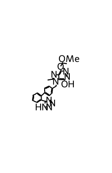 COC(C)Oc1nnc(O)c2c1nc(C)n2Cc1ccc(-c2ccccc2-c2nnn[nH]2)cc1